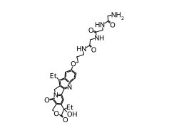 CCc1c2c(nc3ccc(OCCCNC(=O)CNC(=O)CNC(=O)CN)cc13)-c1cc3c(c(=O)n1C2)COC(=O)C3(O)CC